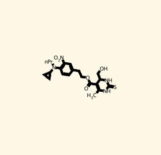 CCCN(c1ccc(CCOC(=O)C2=C(C)NC(=S)NC2CO)cc1[N+](=O)[O-])C1CC1